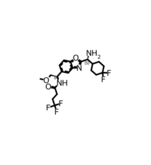 COC[C@H](NC(=O)CCC(F)(F)F)c1ccc2oc([C@@H](N)C3CCC(F)(F)CC3)nc2c1